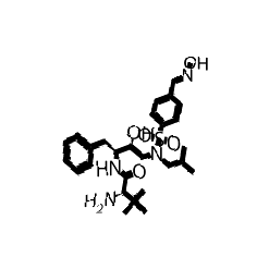 CC(C)CN(C[C@@H](O)[C@H](Cc1ccccc1)NC(=O)[C@@H](N)C(C)(C)C)S(=O)(=O)c1ccc(/C=N/O)cc1